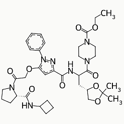 CCOC(=O)N1CCN(C(=O)C(C[C@H]2COC(C)(C)O2)NC(=O)c2cc(OCC(=O)N3CCC[C@H]3C(=O)NC3CCC3)n(-c3ccccc3)n2)CC1